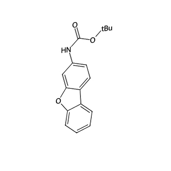 CC(C)(C)OC(=O)Nc1ccc2c(c1)oc1ccccc12